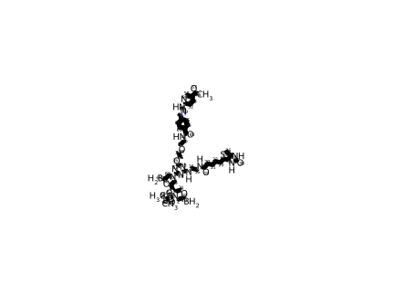 BC1CN(P(=O)(OCC2CN(c3nc(NCCNC(=O)CCCCC4SCC5NC(=O)NC54)nc(OCCOCCNC(=O)c4ccc(/C=N/Nc5ccc(C(C)=O)cn5)cc4)n3)CC(B)O2)N(C)C)CCO1